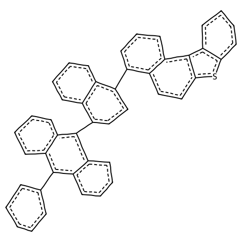 c1ccc(-c2c3ccccc3c(-c3ccc(-c4cccc5c4ccc4sc6ccccc6c45)c4ccccc34)c3ccccc23)cc1